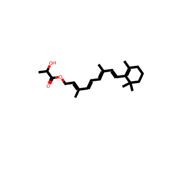 CC(C=CC1=C(C)CCCC1(C)C)=CC=CC(C)=CCOC(=O)C(C)O